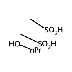 CCCO.CS(=O)(=O)O.CS(=O)(=O)O